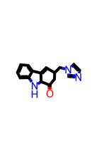 O=C1CC(Cn2ccnc2)C=C2c3ccccc3NC12